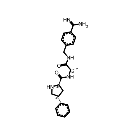 C[C@H](NC(=O)[C@H]1C[C@H](c2ccccc2)CN1)C(=O)NCc1ccc(C(=N)N)cc1